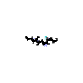 CC/C=C/C(C)=C(\C)C/C=C\C(F)=C/CC